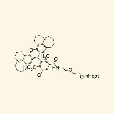 CCCCCCCOCCOCCNC(=O)c1cc(Cl)c(C(=O)O)c(C2=c3cc4c5c(c3Oc3c2cc2c6c3CCCN6CCCC2)CCC[N+]=5CCCC4)c1C